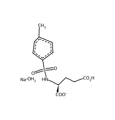 Cc1ccc(S(=O)(=O)N[C@@H](CCC(=O)O)C(=O)[O-])cc1.O.[Na+]